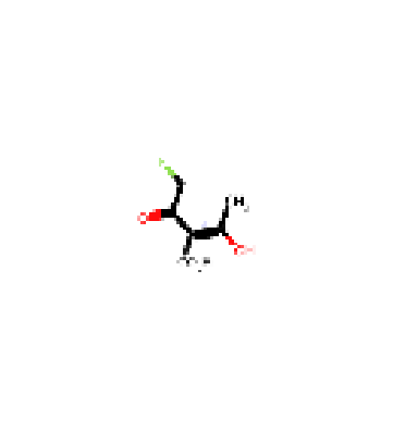 CCOC(=O)/C(C(=O)CF)=C(/C)O